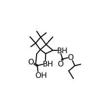 CCC(C)OC(=O)BC1C(BC(=O)O)C2(CC)C(C)(C)C(C)(C)C12C